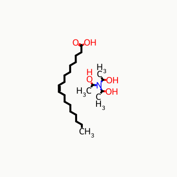 CC(O)N(C(C)O)C(C)O.CCCCCCCC/C=C\CCCCCCCC(=O)O